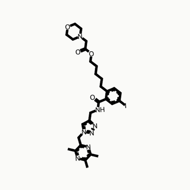 Cc1nc(C)c(Cn2cc(CNC(=O)c3cc(I)ccc3CCCCCOC(=O)CN3CCOCC3)nn2)nc1C